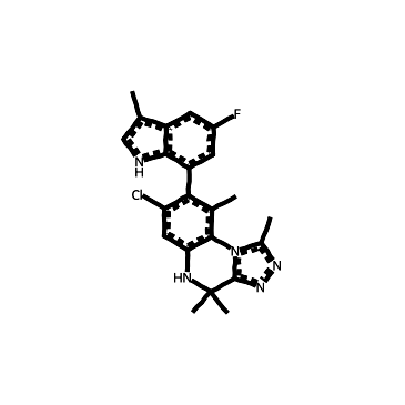 Cc1c(-c2cc(F)cc3c(C)c[nH]c23)c(Cl)cc2c1-n1c(C)nnc1C(C)(C)N2